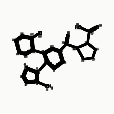 Cc1ccnn1-c1ccc(C(=O)N2CCCC2C(=O)O)cc1-c1ccccc1Cl